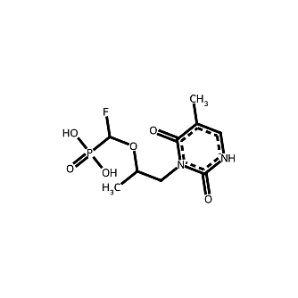 Cc1c[nH]c(=O)n(CC(C)OC(F)P(=O)(O)O)c1=O